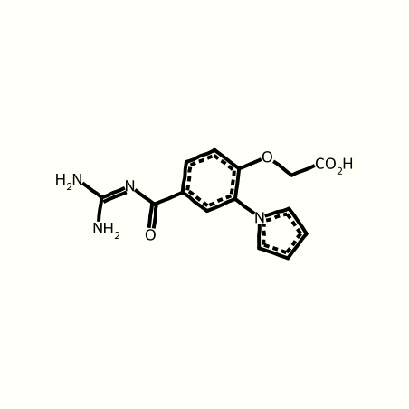 NC(N)=NC(=O)c1ccc(OCC(=O)O)c(-n2cccc2)c1